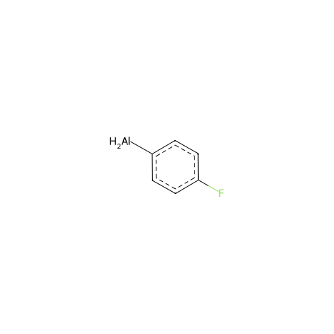 Fc1cc[c]([AlH2])cc1